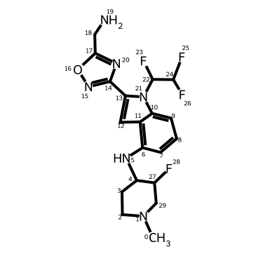 CN1CCC(Nc2cccc3c2cc(-c2noc(CN)n2)n3C(F)C(F)F)C(F)C1